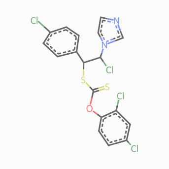 S=C(Oc1ccc(Cl)cc1Cl)SC(c1ccc(Cl)cc1)C(Cl)n1ccnc1